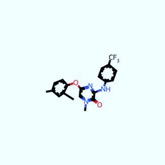 Cc1ccc(Oc2cn(C)c(=O)c(Nc3ccc(C(F)(F)F)cc3)n2)c(C)c1